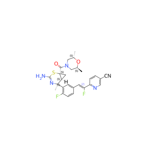 C[C@H]1CN(C(=O)[C@]23C[C@H]2[C@@](C)(c2cc(/C=C(\F)c4ccc(C#N)cn4)ccc2F)N=C(N)S3)C[C@H](C)O1